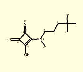 CN(CCCC(C)(C)C)c1c(O)c(=S)c1=S